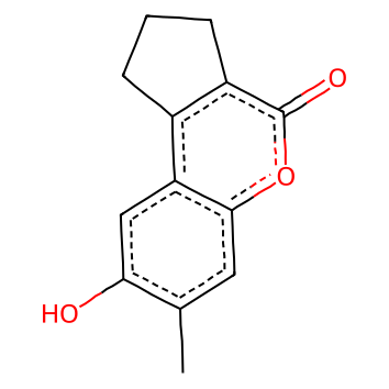 Cc1cc2oc(=O)c3c(c2cc1O)CCC3